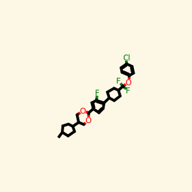 CC1CCC(C2COC(c3ccc(C4CCC(C(F)(F)Oc5ccc(Cl)cc5)CC4)c(F)c3)OC2)CC1